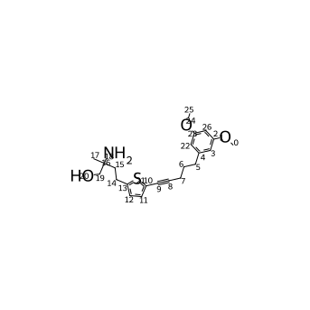 COc1cc(CCCC#Cc2ccc(CCC(C)(N)CO)s2)cc(OC)c1